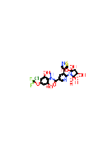 O=C(Nc1c(O)cc(OC(F)(F)Cl)cc1O)c1cnc(N2C(O)(O)CC(O)C2(O)O)c(-c2cnsc2)c1